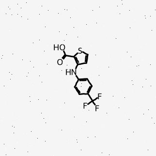 O=C(O)c1sccc1Nc1ccc(C(F)(F)F)cc1